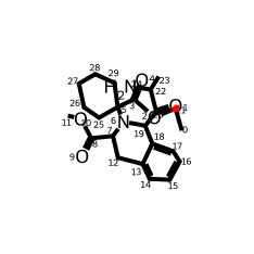 CCOC(=O)C1(N2C(C(=O)OC)Cc3ccccc3C2C(=O)C(C)N)CCCCC1